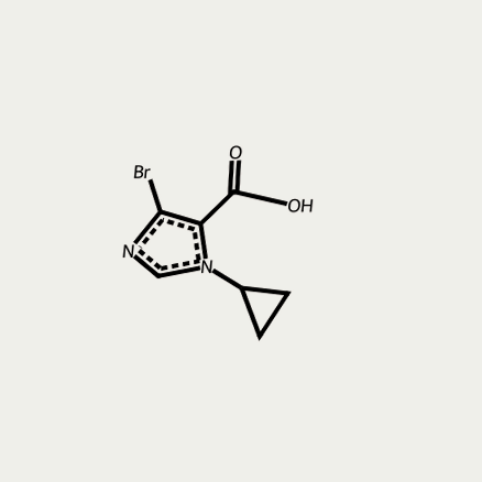 O=C(O)c1c(Br)ncn1C1CC1